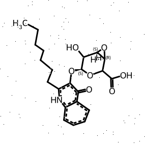 CCCCCCCc1[nH]c2ccccc2c(=O)c1O[C@@H]1OC(C(=O)O)[C@@H]2O[C@H]2C1O